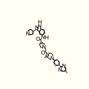 Cc1cnc(-c2ccc(N3CCN(C(=O)CN4CC[C@@H](C(=O)Nc5ccc6[nH]nc(-c7ccncc7)c6c5)C4)[C@H](C)C3)cc2)nc1